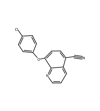 N#Cc1ccc(Oc2ccc(Cl)cc2)c2ncccc12